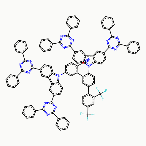 N#Cc1ccc(-n2c3ccc(-c4nc(-c5ccccc5)nc(-c5ccccc5)n4)cc3c3cc(-c4nc(-c5ccccc5)nc(-c5ccccc5)n4)ccc32)cc1-c1cc(-c2ccc(C(F)(F)F)cc2C(F)(F)F)ccc1-n1c2ccc(-c3nc(-c4ccccc4)nc(-c4ccccc4)n3)cc2c2cc(-c3nc(-c4ccccc4)nc(-c4ccccc4)n3)ccc21